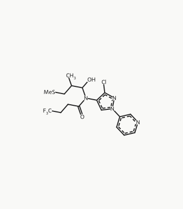 CSCC(C)C(O)N(C(=O)CCC(F)(F)F)c1cn(-c2cccnc2)nc1Cl